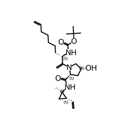 C=CCCCCC[C@H](NC(=O)OC(C)(C)C)C(=C)N1C[C@H](O)C[C@H]1C(=O)N[C@]1(C)C[C@H]1C=C